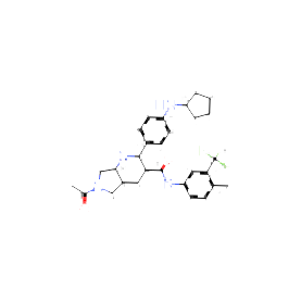 CC(=O)N1CC2CC(C(=O)Nc3ccc(C)c(C(F)(F)F)c3)C(c3ccc(NC4CCCC4)cc3)NC2C1